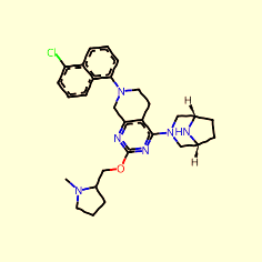 CN1CCCC1COc1nc2c(c(N3C[C@H]4CC[C@@H](C3)N4)n1)CCN(c1cccc3c(Cl)cccc13)C2